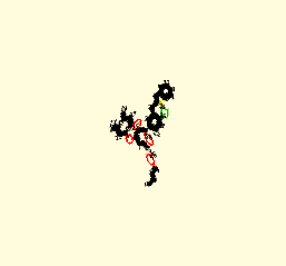 CCCCOC[C@@H]1C[C@H](OCCCC)[C@@H](OCCCC)[C@H](c2ccc(Cl)c(Cc3cc4ccccc4s3)c2)O1